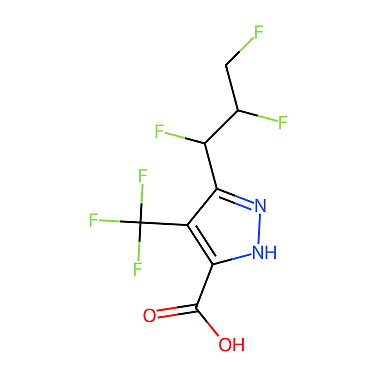 O=C(O)c1[nH]nc(C(F)C(F)CF)c1C(F)(F)F